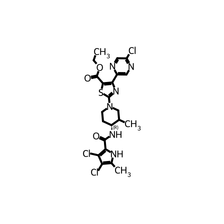 CCOC(=O)c1sc(N2CC[C@@H](NC(=O)c3[nH]c(C)c(Cl)c3Cl)C(C)C2)nc1-c1cnc(Cl)cn1